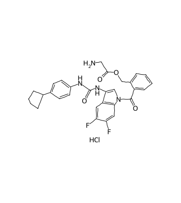 Cl.NCC(=O)OCc1ccccc1C(=O)n1cc(NC(=O)Nc2ccc(C3CCCC3)cc2)c2cc(F)c(F)cc21